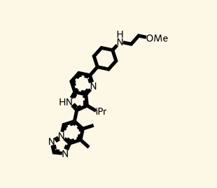 COCCNC1CCC(c2ccc3[nH]c(-c4cn5ncnc5c(C)c4C)c(C(C)C)c3n2)CC1